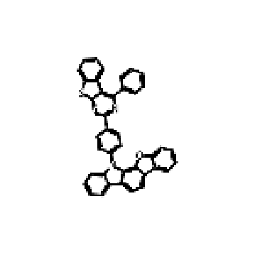 c1ccc(-c2nc(-c3ccc(-n4c5ccccc5c5ccc6c7ccccc7oc6c54)cc3)nc3sc4ccccc4c23)cc1